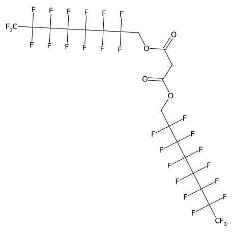 O=C(CC(=O)OCC(F)(F)C(F)(F)C(F)(F)C(F)(F)C(F)(F)C(F)(F)C(F)(F)F)OCC(F)(F)C(F)(F)C(F)(F)C(F)(F)C(F)(F)C(F)(F)C(F)(F)F